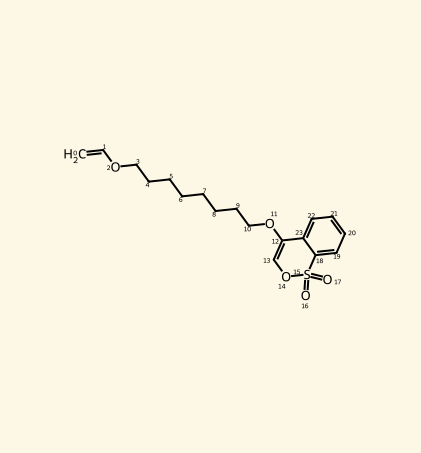 C=COCCCCCCCCOC1=COS(=O)(=O)c2ccccc21